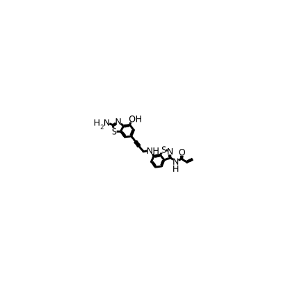 C=CC(=O)Nc1nsc2c(NCC#Cc3cc(O)c4nc(N)sc4c3)cccc12